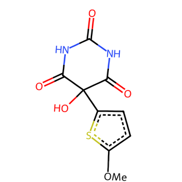 COc1ccc(C2(O)C(=O)NC(=O)NC2=O)s1